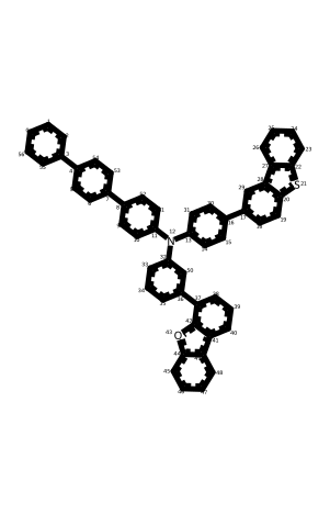 c1ccc(-c2ccc(-c3ccc(N(c4ccc(-c5ccc6sc7ccccc7c6c5)cc4)c4cccc(-c5cccc6c5oc5ccccc56)c4)cc3)cc2)cc1